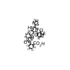 CCOC(=O)C1=C(CN2CCN3C(=O)N(c4ccccc4C(=O)O)C[C@@H]3C2)NC(c2nccs2)=N[C@H]1c1cccc(F)c1Cl